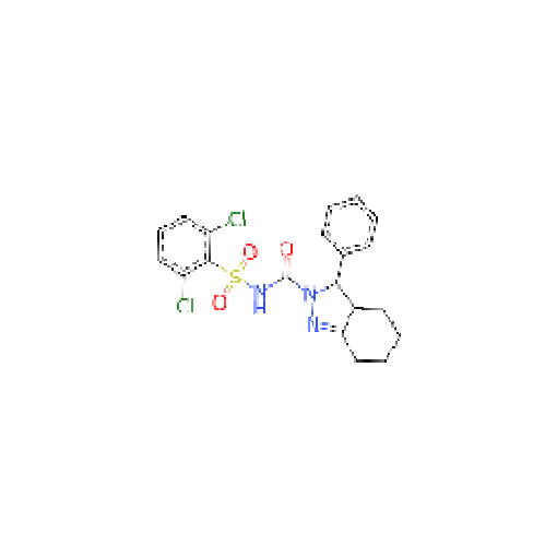 O=C(NS(=O)(=O)c1c(Cl)cccc1Cl)N1N=C2CCCCC2C1c1ccccc1